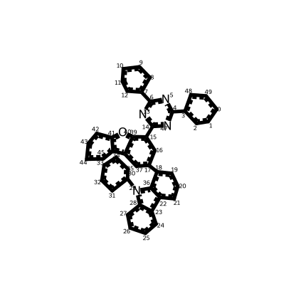 c1ccc(-c2nc(-c3ccccc3)nc(-c3cc(-c4cccc5c6ccccc6n(-c6ccccc6)c45)cc4c3oc3ccccc34)n2)cc1